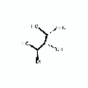 CC[C@@H](O)[C@@H](O)[C@H](O)C=O